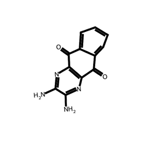 Nc1nc2c(nc1N)C(=O)c1ccccc1C2=O